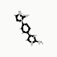 Cc1nc(-c2ccc(-n3cc[nH]c3=O)cc2)co1